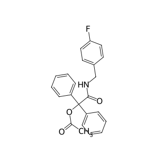 CC(=O)OC(C(=O)NCc1ccc(F)cc1)(c1ccccc1)c1ccccc1